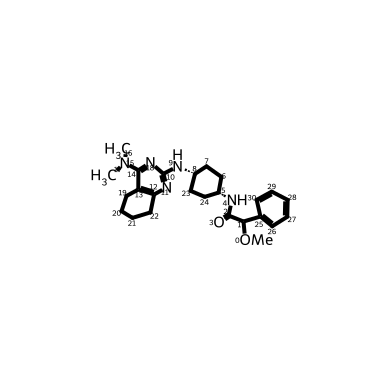 COC(C(=O)N[C@H]1CC[C@@H](Nc2nc3c(c(N(C)C)n2)CCCC3)CC1)c1ccccc1